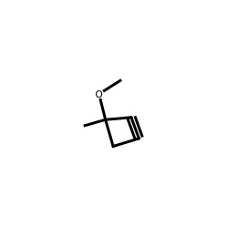 COC1(C)C#CC1